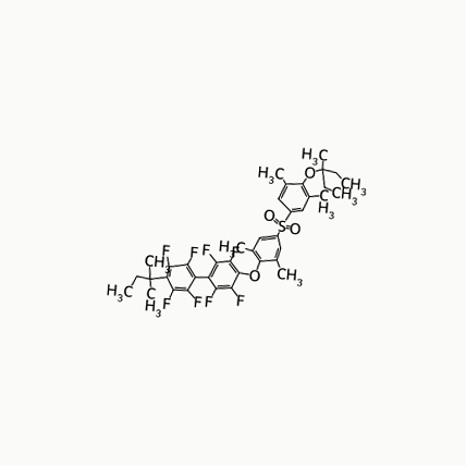 CCC(C)(CC)Oc1c(C)cc(S(=O)(=O)c2cc(C)c(Oc3c(F)c(F)c(-c4c(F)c(F)c(C(C)(C)CC)c(F)c4F)c(F)c3F)c(C)c2)cc1C